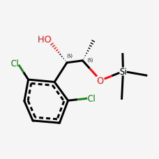 C[C@H](O[Si](C)(C)C)[C@@H](O)c1c(Cl)cccc1Cl